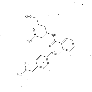 CN(C)Cc1ccc(/C=C/c2ccccc2C(=O)NC(CCCC=O)CC(N)=O)cc1